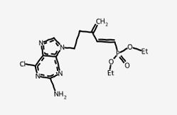 C=C(C=CP(=O)(OCC)OCC)CCn1cnc2c(Cl)nc(N)nc21